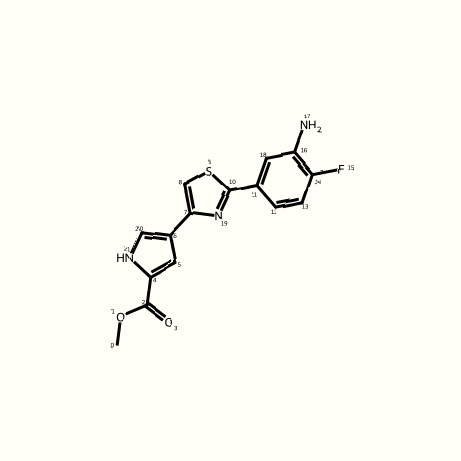 COC(=O)c1cc(-c2csc(-c3ccc(F)c(N)c3)n2)c[nH]1